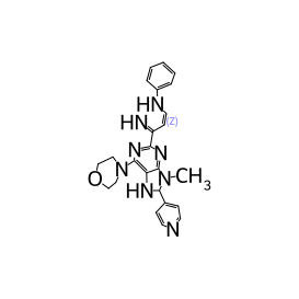 CN1c2nc(C(=N)/C=C\Nc3ccccc3)nc(N3CCOCC3)c2NC1c1ccncc1